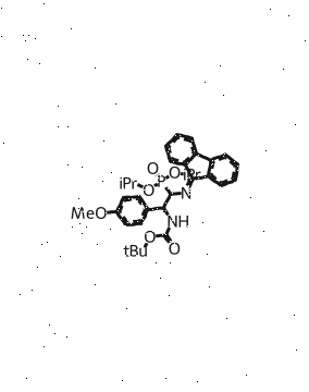 COc1ccc(C(NC(=O)OC(C)(C)C)C(N=C2c3ccccc3-c3ccccc32)P(=O)(OC(C)C)OC(C)C)cc1